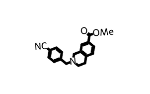 COC(=O)c1ccc2c(c1)CN(Cc1ccc(C#N)cc1)CC2